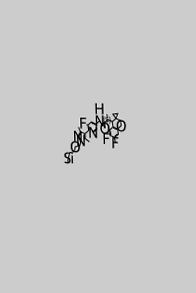 Cc1nn(COCC[Si](C)(C)C)c(C)c1-c1ncc(NC(=O)[C@@H](C)C2c3cc(F)c(F)cc3OCC23CC3)cc1F